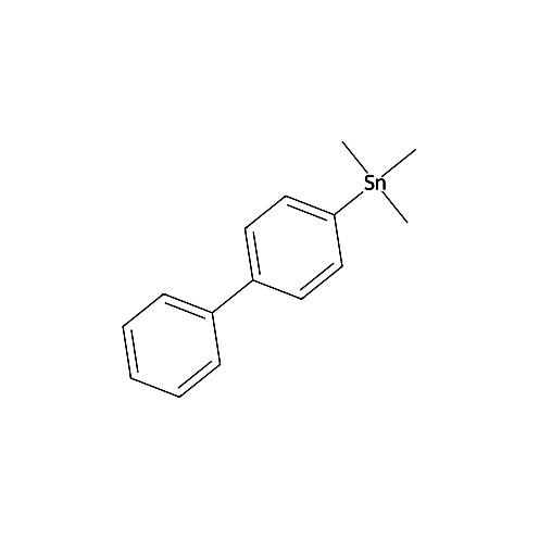 [CH3][Sn]([CH3])([CH3])[c]1ccc(-c2ccccc2)cc1